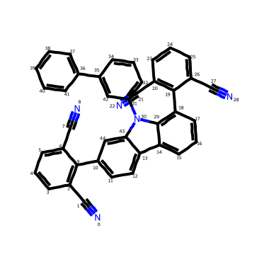 N#Cc1cccc(C#N)c1-c1ccc2c3cccc(-c4c(C#N)cccc4C#N)c3n(-c3cccc(-c4ccccc4)c3)c2c1